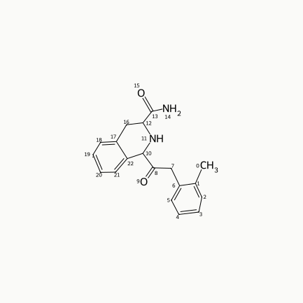 Cc1ccccc1CC(=O)C1NC(C(N)=O)Cc2c[c]ccc21